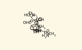 CCC1(O)CC2C[N@](CCc3c([nH]c4ccccc34)[C@@](COC=O)(c3cc4c(cc3CO)N(C)C3C45CCN4CC=C[C@](CC)(C45)[C@@H](O)[C@]3(O)C(=O)NCCCOC(=O)[C@H](C)N)C2)C1